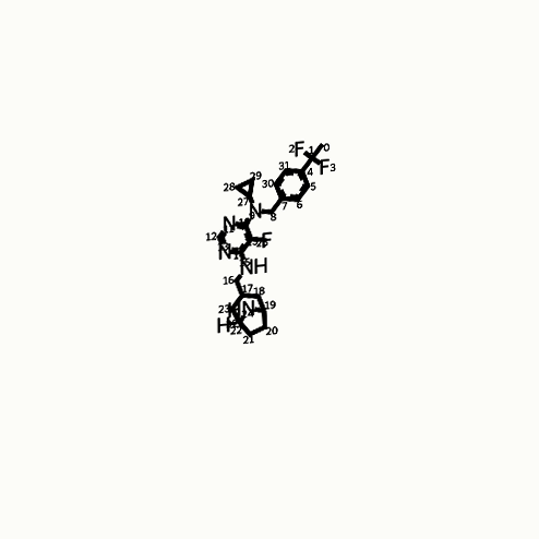 CC(F)(F)c1ccc(CN(c2ncnc(NCC3CC4CC[C@H](C3)N4)c2F)C2CC2)cc1